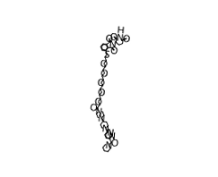 O=C1CCC(N2C(=O)c3cccc(SCCOCCOCCOCCOCCOCC(=O)N4CCN(C5CCN(c6ccc(C(=O)N7CCCCC7)nn6)CC5)CC4)c3C2=O)C(=O)N1